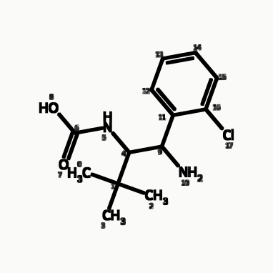 CC(C)(C)C(NC(=O)O)C(N)c1ccccc1Cl